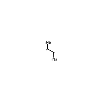 [Na][CH2][CH2][Na]